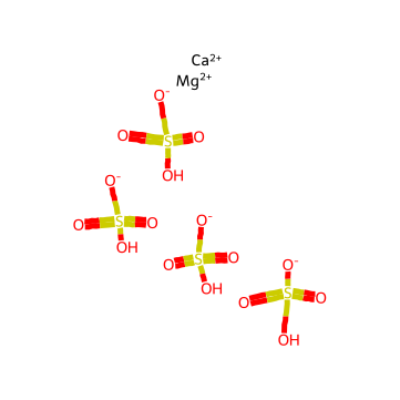 O=S(=O)([O-])O.O=S(=O)([O-])O.O=S(=O)([O-])O.O=S(=O)([O-])O.[Ca+2].[Mg+2]